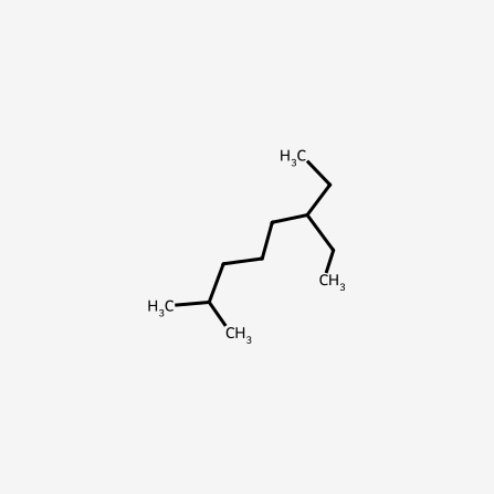 CCC(CC)CCCC(C)C